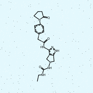 CCNC(=O)NN1Cc2[nH]nc(NC(=O)Cc3ccc(N4CCCC4=O)cc3)c2C1